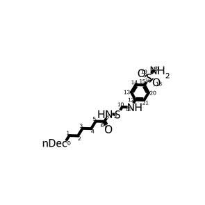 CCCCCCCCCCCCCCCC(=O)NSCNc1ccc(S(N)(=O)=O)cc1